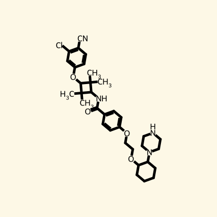 CC1(C)C(NC(=O)c2ccc(OCCOC3CCCCC3N3CCNCC3)cc2)C(C)(C)C1Oc1ccc(C#N)c(Cl)c1